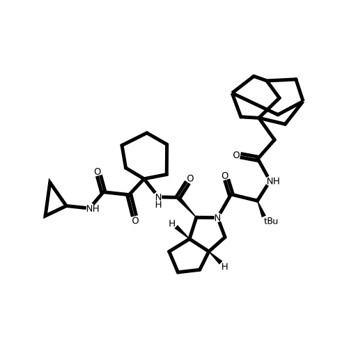 CC(C)(C)[C@H](NC(=O)CC12CC3CC(CC(C3)C1)C2)C(=O)N1C[C@@H]2CCC[C@@H]2[C@H]1C(=O)NC1(C(=O)C(=O)NC2CC2)CCCCC1